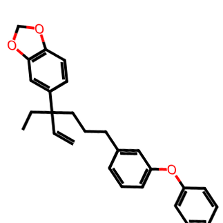 C=CC(CC)(CCCc1cccc(Oc2ccccc2)c1)c1ccc2c(c1)OCO2